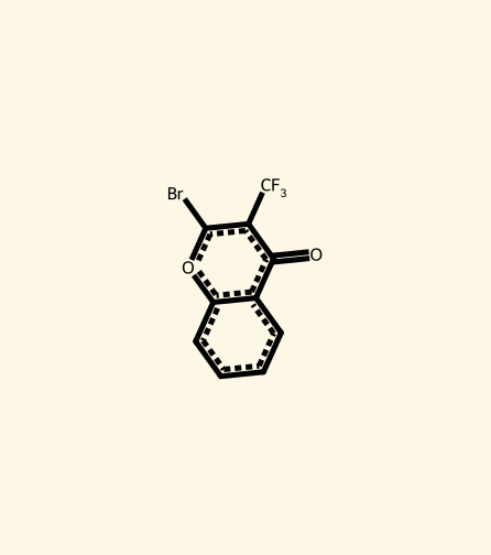 O=c1c(C(F)(F)F)c(Br)oc2ccccc12